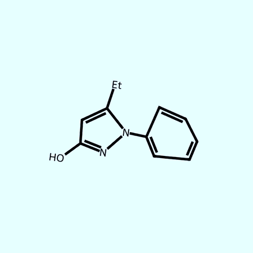 [CH2]Cc1cc(O)nn1-c1ccccc1